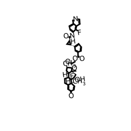 C[C@@H]1C[C@H]2[C@@H]3CCC4=CC(=O)C=C[C@]4(C)[C@@]3(F)[C@@H](O)C[C@@]23CO[C@]13C(=O)COC(=O)c1cccc([C@@H]2C[C@H]2C(=O)Nc2ccc3cnccc3c2F)c1